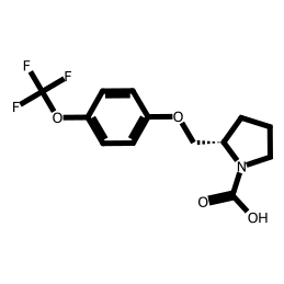 O=C(O)N1CCC[C@H]1COc1ccc(OC(F)(F)F)cc1